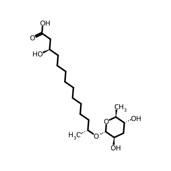 C[C@H](CCCCCCCCC[C@@H](O)CC(=O)O)O[C@@H]1O[C@@H](C)[C@H](O)C[C@H]1O